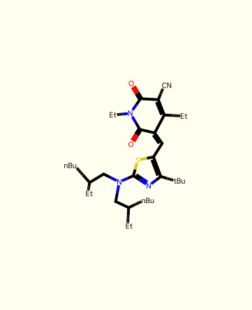 CCCCC(CC)CN(CC(CC)CCCC)c1nc(C(C)(C)C)c(/C=C2\C(=O)N(CC)C(=O)C(C#N)=C2CC)s1